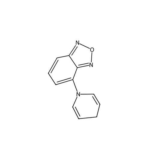 C1=CN(c2cccc3nonc23)C=CC1